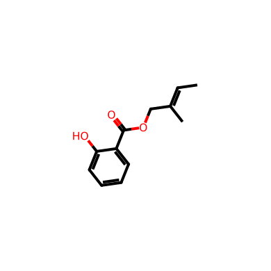 C/C=C(\C)COC(=O)c1ccccc1O